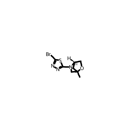 CC12C[C@@H](CO1)N(c1nnc(Br)s1)C2